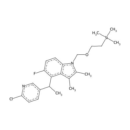 Cc1c(C)n(COCC[Si](C)(C)C)c2ccc(F)c(C(C)c3ccc(Cl)nc3)c12